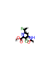 C=C(F)c1cc(NC(C)=O)c(Cl)c(C(=O)OC)n1